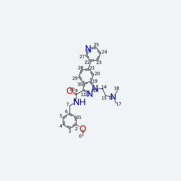 COc1cccc(CNC(=O)c2nn(CCN(C)C)c3cc(-c4cccnc4)ccc23)c1